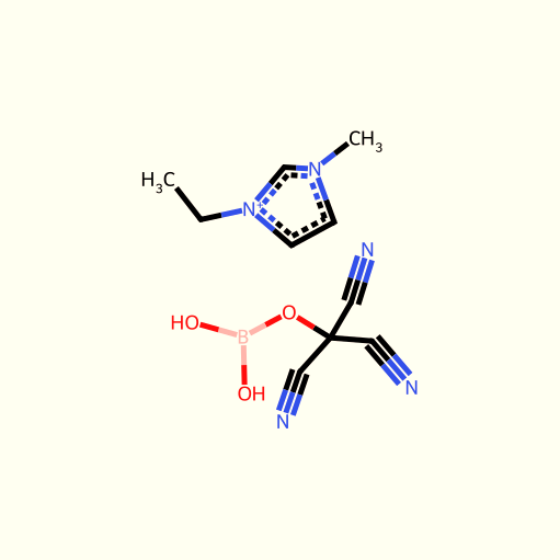 CC[n+]1ccn(C)c1.N#CC(C#N)(C#N)OB(O)O